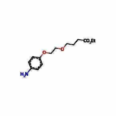 CCOC(=O)CCCOCCOc1ccc(N)cc1